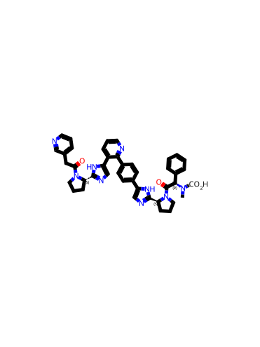 CN(C(=O)O)[C@@H](C(=O)N1CCC[C@H]1c1ncc(-c2ccc(-c3ncccc3-c3cnc([C@@H]4CCCN4C(=O)Cc4cccnc4)[nH]3)cc2)[nH]1)c1ccccc1